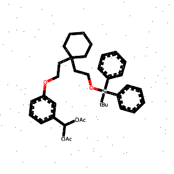 CC(=O)OC(OC(C)=O)c1cccc(OCCC2(CCO[Si](c3ccccc3)(c3ccccc3)C(C)(C)C)CCCCC2)c1